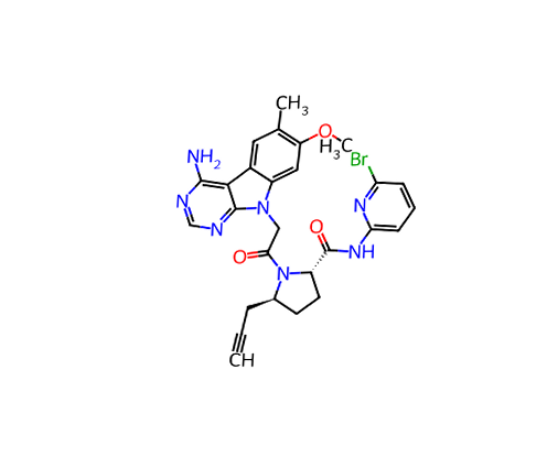 C#CC[C@@H]1CC[C@@H](C(=O)Nc2cccc(Br)n2)N1C(=O)Cn1c2cc(OC)c(C)cc2c2c(N)ncnc21